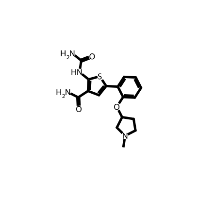 CN1CCC(Oc2ccccc2-c2cc(C(N)=O)c(NC(N)=O)s2)C1